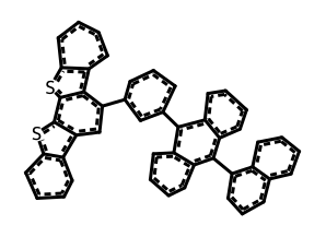 c1cc(-c2c3ccccc3c(-c3cccc4ccccc34)c3ccccc23)cc(-c2cc3c4ccccc4sc3c3sc4ccccc4c23)c1